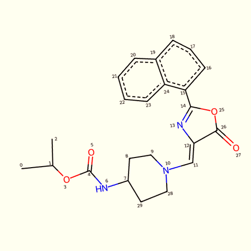 CC(C)OC(=O)NC1CCN(C=C2N=C(c3cccc4ccccc34)OC2=O)CC1